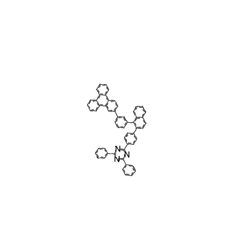 c1ccc(-c2nc(-c3ccccc3)nc(-c3ccc(-c4ccc5ccccc5c4-c4cccc(-c5ccc6c7ccccc7c7ccccc7c6c5)c4)cc3)n2)cc1